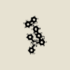 c1ccc(C2=NC(c3cccc4oc5cc6c(cc5c34)sc3cc(-n4c5ccccc5c5ccccc54)ccc36)NC(c3ccccc3)=N2)cc1